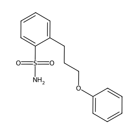 NS(=O)(=O)c1ccccc1CCCOc1ccccc1